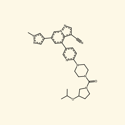 CC(C)OC1CCN(C(=O)N2CCN(c3ccc(-c4cc(-c5cnn(C)c5)cn5ncc(C#N)c45)cn3)CC2)C1